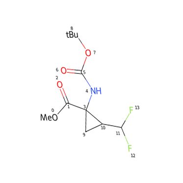 COC(=O)C1(NC(=O)OC(C)(C)C)CC1C(F)F